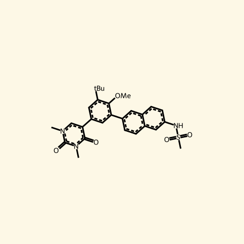 COc1c(-c2ccc3cc(NS(C)(=O)=O)ccc3c2)cc(-c2cn(C)c(=O)n(C)c2=O)cc1C(C)(C)C